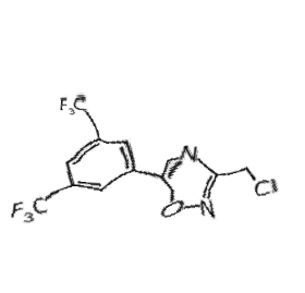 FC(F)(F)c1cc(-c2nc(CCl)no2)cc(C(F)(F)F)c1